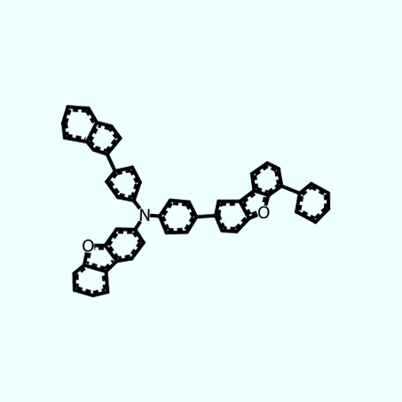 c1ccc(-c2cccc3c2oc2ccc(-c4ccc(N(c5ccc(-c6ccc7ccccc7c6)cc5)c5ccc6c(c5)oc5ccccc56)cc4)cc23)cc1